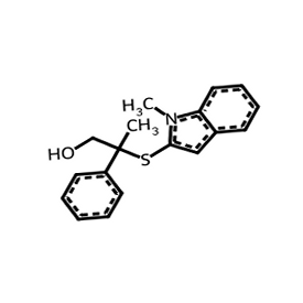 Cn1c(SC(C)(CO)c2ccccc2)cc2ccccc21